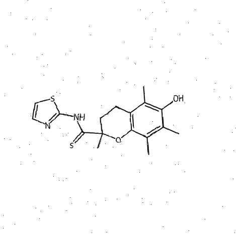 Cc1c(C)c2c(c(C)c1O)CCC(C)(C(=S)Nc1nccs1)O2